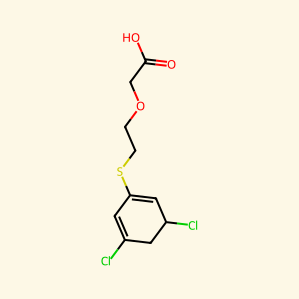 O=C(O)COCCSC1=CC(Cl)CC(Cl)=C1